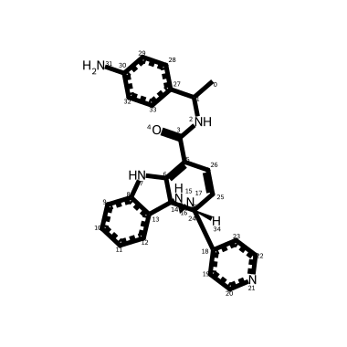 CC(NC(=O)C1=C2Nc3ccccc3C23NCN(c2ccncc2)[C@@H]3C=C1)c1ccc(N)cc1